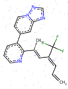 C=C/C=C(\C=C(/C)c1ncccc1-c1ccn2ncnc2c1)C(F)(F)F